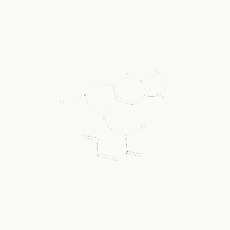 CC1C(=O)C=C[N+](=O)N1C1=CC(C)(C)Oc2cc3nonc3cc21